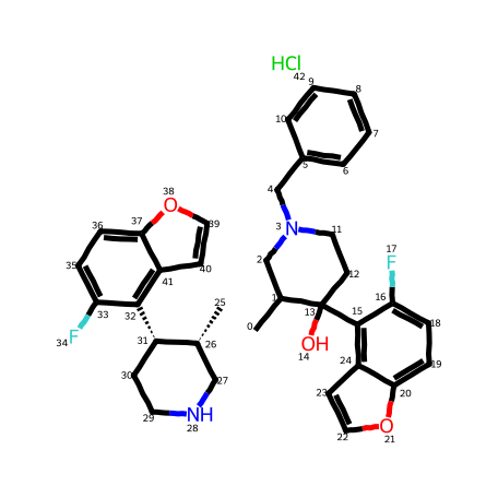 CC1CN(Cc2ccccc2)CCC1(O)c1c(F)ccc2occc12.C[C@@H]1CNCC[C@@H]1c1c(F)ccc2occc12.Cl